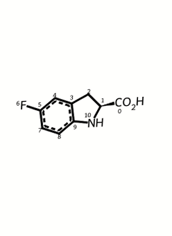 O=C(O)[C@@H]1Cc2cc(F)ccc2N1